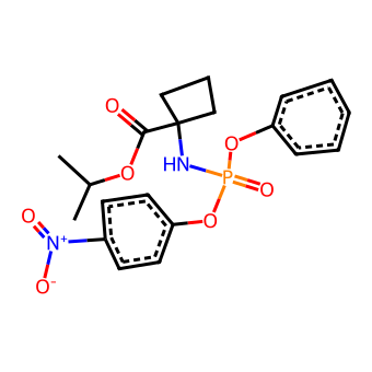 CC(C)OC(=O)C1(NP(=O)(Oc2ccccc2)Oc2ccc([N+](=O)[O-])cc2)CCC1